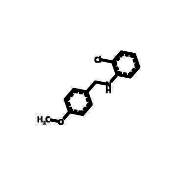 COc1ccc(CNc2ccccc2Cl)cc1